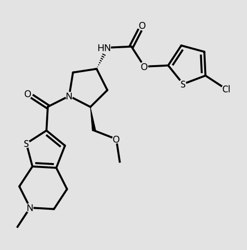 COC[C@@H]1C[C@@H](NC(=O)Oc2ccc(Cl)s2)CN1C(=O)c1cc2c(s1)CN(C)CC2